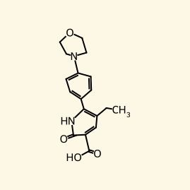 CCc1cc(C(=O)O)c(=O)[nH]c1-c1ccc(N2CCOCC2)cc1